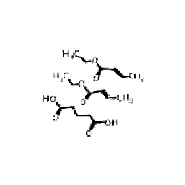 CC=CC(=O)OCC.CC=CC(=O)OCC.O=C(O)CCCC(=O)O